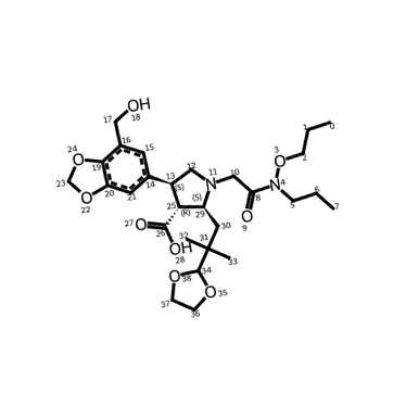 CCCON(CCC)C(=O)CN1C[C@H](c2cc(CO)c3c(c2)OCO3)[C@@H](C(=O)O)[C@@H]1CC(C)(C)C1OCCO1